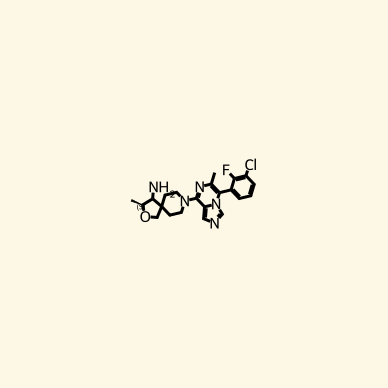 Cc1nc(N2CCC3(CC2)CO[C@@H](C)C3N)c2cncn2c1-c1cccc(Cl)c1F